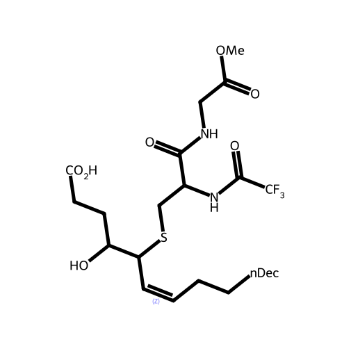 CCCCCCCCCCCC/C=C\C(SCC(NC(=O)C(F)(F)F)C(=O)NCC(=O)OC)C(O)CCC(=O)O